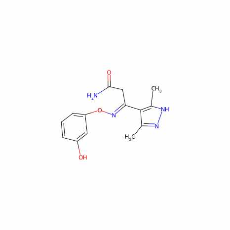 Cc1n[nH]c(C)c1/C(CC(N)=O)=N/Oc1cccc(O)c1